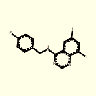 Fc1ccc(CNc2ncnc3c(I)cc(I)cc23)cc1